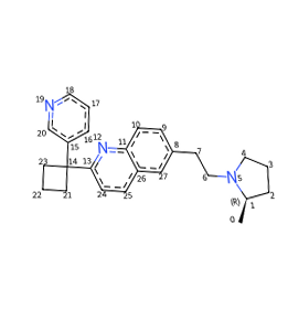 C[C@@H]1CCCN1CCc1ccc2nc(C3(c4cccnc4)CCC3)ccc2c1